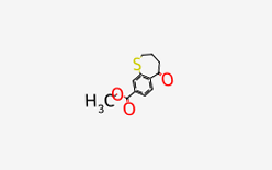 COC(=O)c1ccc2c(c1)SCCCC2=O